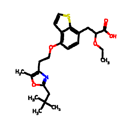 CCOC(Cc1ccc(OCCc2nc(CC(C)(C)C)oc2C)c2ccsc12)C(=O)O